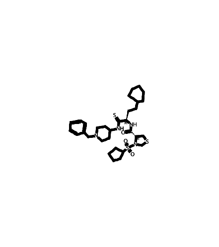 O=C(N[C@H](CCC1CCCCC1)C(=S)NC1CCN(Cc2ccccc2)CC1)[C@@H]1CSCN1S(=O)(=O)C1CCCC1